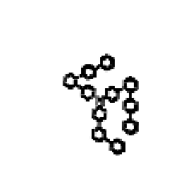 c1ccc(-c2ccc(-c3ccccc3-c3ccc(N(c4ccc(-c5cccc(-c6ccccc6)c5)cc4)c4ccc(-c5ccccc5-c5ccc(-c6ccccc6)cc5)cc4)cc3)cc2)cc1